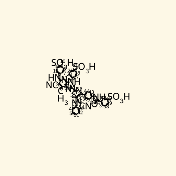 Cc1c(C#N)c(Nc2ccc(S(=O)(=O)O)cc2)nc(Nc2ccc(S(=O)(=O)O)cc2)c1/N=N/c1nc(-c2ccc(NC(=O)c3cccc(S(=O)(=O)O)c3)cc2)c(N=Nc2ccccc2C#N)s1